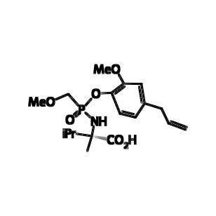 C=CCc1ccc(OP(=O)(COC)N[C@](C)(C(=O)O)C(C)C)c(OC)c1